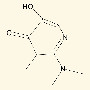 CC1C(=O)C(O)=CN=C1N(C)C